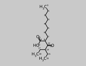 CCCCCCCCC(C(=O)O)C(=O)C(CC)CC